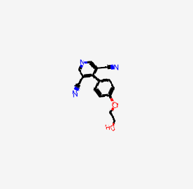 N#Cc1cncc(C#N)c1-c1ccc(OCCO)cc1